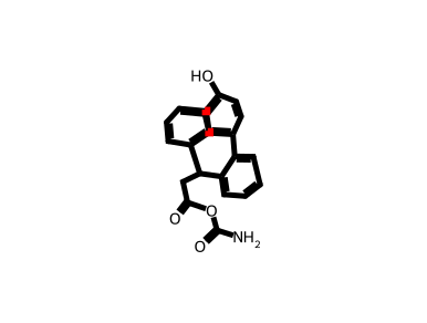 NC(=O)OC(=O)CC(c1ccccc1)c1ccccc1-c1ccc(O)cc1